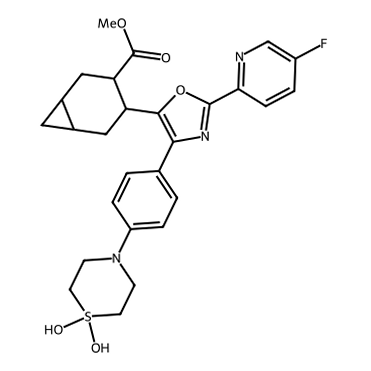 COC(=O)C1CC2CC2CC1c1oc(-c2ccc(F)cn2)nc1-c1ccc(N2CCS(O)(O)CC2)cc1